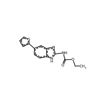 CCOC(=O)Nc1nc2cc(-c3cccs3)ccc2[nH]1